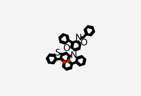 c1ccc(-c2nc3c(cc(N(c4ccc5c(c4)sc4ccccc45)c4ccccc4-c4ccccc4)c4oc5ccccc5c43)o2)cc1